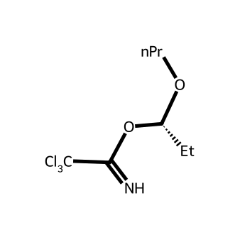 CCCO[C@H](CC)OC(=N)C(Cl)(Cl)Cl